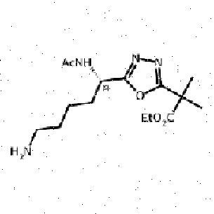 CCOC(=O)C(C)(C)c1nnc([C@H](CCCCN)NC(C)=O)o1